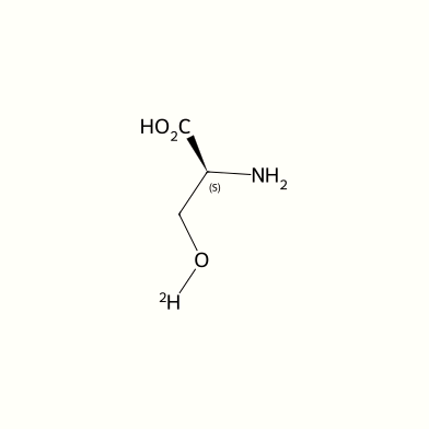 [2H]OC[C@H](N)C(=O)O